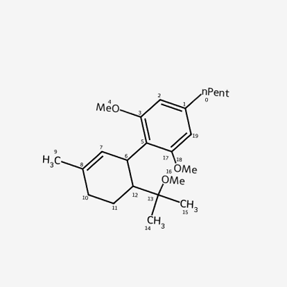 CCCCCc1cc(OC)c(C2C=C(C)CCC2C(C)(C)OC)c(OC)c1